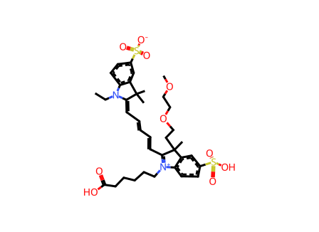 CCN1/C(=C/C=C/C=C/C2=[N+](CCCCCC(=O)O)c3ccc(S(=O)(=O)O)cc3C2(C)CCOCCOC)C(C)(C)c2cc(S(=O)(=O)[O-])ccc21